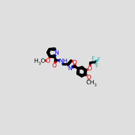 COc1ccc(-c2nc(CNC(=O)c3ncccc3OC)co2)cc1OCC(F)(F)F